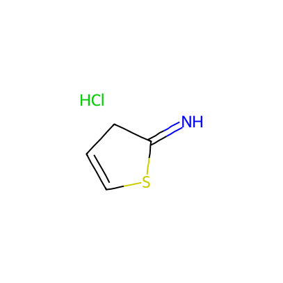 Cl.N=C1CC=CS1